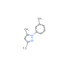 Cc1cccc(-n2nc(C(F)(F)F)cc2C)c1